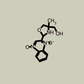 CC1(CO)COC(c2c[n+]([O-])c3ccccc3[n+]2[O-])N1